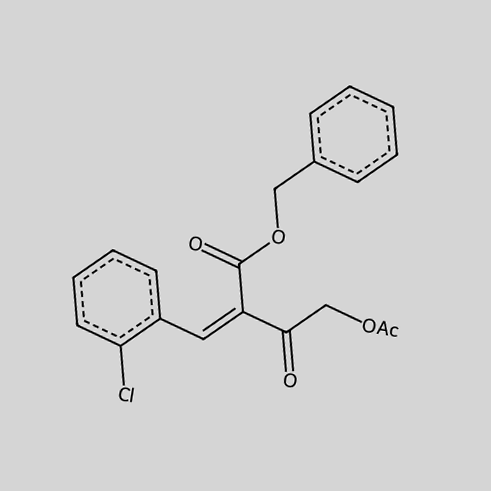 CC(=O)OCC(=O)/C(=C/c1ccccc1Cl)C(=O)OCc1ccccc1